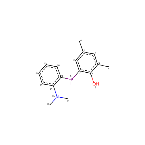 Cc1cc(C)c(O)c(Pc2ccccc2N(C)C)c1